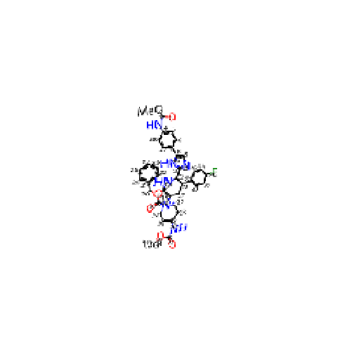 COC(=O)Nc1ccc(-c2cnc(C3NCC([N+]4(C(=O)OCc5ccccc5)CCC(NC(=O)OC(C)(C)C)CC4)CC3c3ccc(F)cc3)[nH]2)cc1